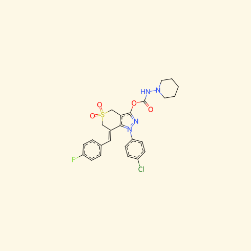 O=C(NN1CCCCC1)Oc1nn(-c2ccc(Cl)cc2)c2c1CS(=O)(=O)C/C2=C\c1ccc(F)cc1